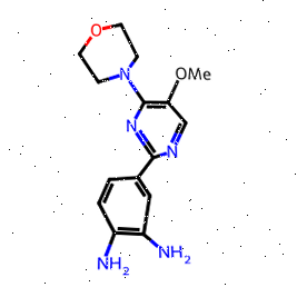 COc1cnc(-c2ccc(N)c(N)c2)nc1N1CCOCC1